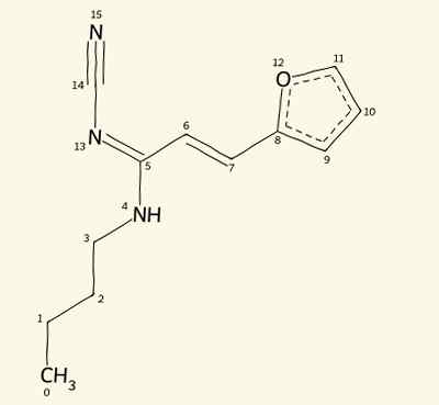 CCCCNC(/C=C/c1ccco1)=N/C#N